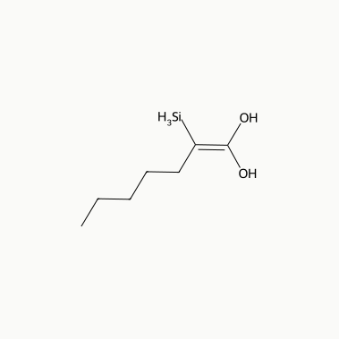 CCCCCC([SiH3])=C(O)O